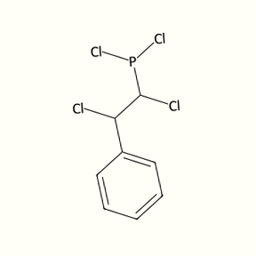 ClC(c1ccccc1)C(Cl)P(Cl)Cl